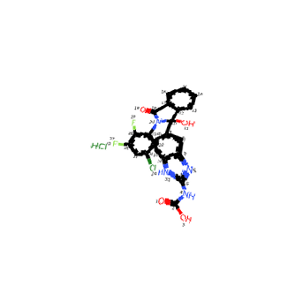 Cl.O=C(O)Nc1nc2cc(C3(O)c4ccccc4C(=O)N3c3cc(Cl)cc(F)c3F)ccc2[nH]1